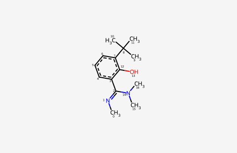 C/N=C(/c1cccc(C(C)(C)C)c1O)N(C)C